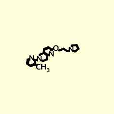 Cc1cccnc1N1CCc2nc(OCCCN3CCCC3)ccc2C1